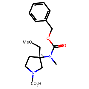 COC[C@]1(N(C)C(=O)OCc2ccccc2)CCN(C(=O)O)C1